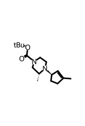 CC1=C[C@H](N2CCN(C(=O)OC(C)(C)C)C[C@H]2C)CC1